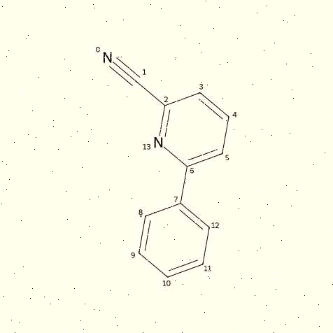 N#Cc1cccc(-c2[c]cccc2)n1